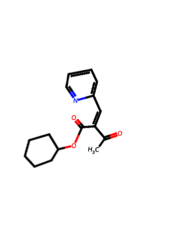 CC(=O)C(=Cc1ccccn1)C(=O)OC1CCCCC1